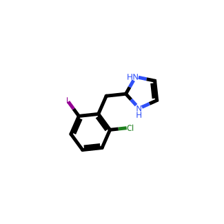 Clc1cccc(I)c1CC1NC=CN1